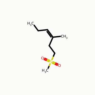 CC/C=C(/C)CCS(C)(=O)=O